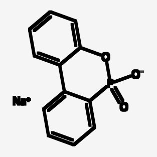 O=P1([O-])Oc2ccccc2-c2ccccc21.[Na+]